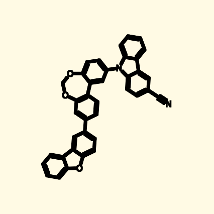 N#Cc1ccc2c(c1)c1ccccc1n2-c1ccc2c(c1)-c1ccc(-c3ccc4oc5ccccc5c4c3)cc1OCO2